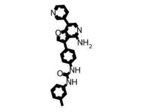 Cc1cccc(NC(=O)Nc2ccc(-c3coc4c(-c5cccnc5)cnc(N)c34)cc2)c1